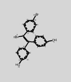 CCCCC(=C(c1ccc(O)cc1)c1ccc(O)cc1)c1ccc(Br)cc1